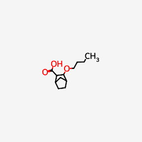 CCCCOC1C2CCC(C2)C1C(=O)O